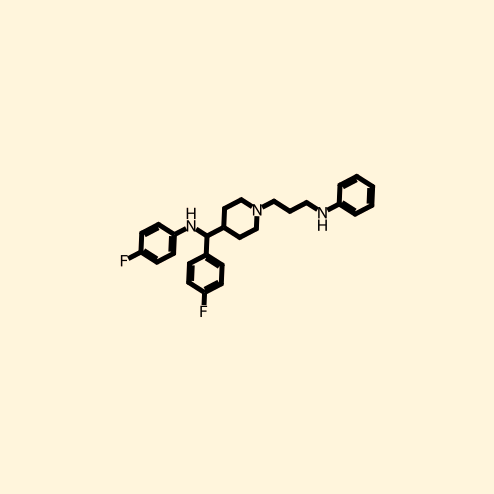 Fc1ccc(NC(c2ccc(F)cc2)C2CCN(CCCNc3ccccc3)CC2)cc1